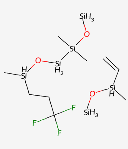 C=C[SiH](C)O[SiH3].C[SiH](CCC(F)(F)F)O[SiH2][Si](C)(C)O[SiH3]